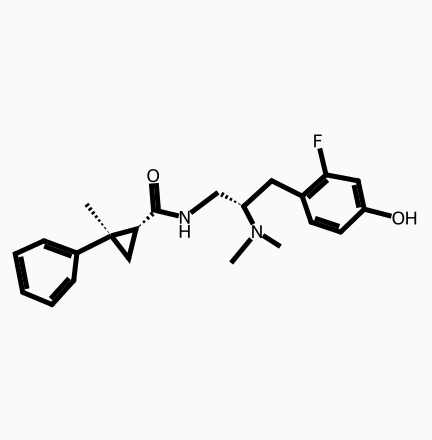 CN(C)[C@H](CNC(=O)[C@@H]1C[C@@]1(C)c1ccccc1)Cc1ccc(O)cc1F